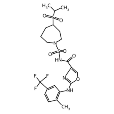 Cc1ccc(C(F)(F)F)cc1Nc1nc(C(=O)NS(=O)(=O)N2CCCC(S(=O)(=O)C(C)C)CC2)co1